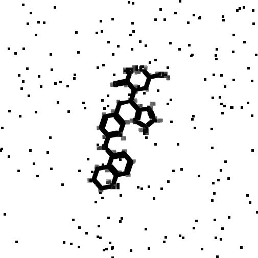 CC(C)C[C@H](C(=O)O)[C@H](Cc1ccc(Oc2cccc3c2CCCN3)nc1)c1nn[nH]n1